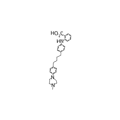 CN1CCN(c2ccc(CCCCc3ccc(Nc4ccccc4C(=O)O)cc3)cc2)CC1